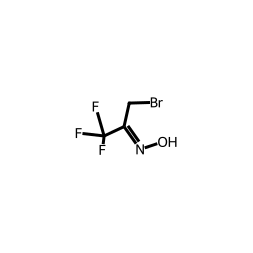 O/N=C(\CBr)C(F)(F)F